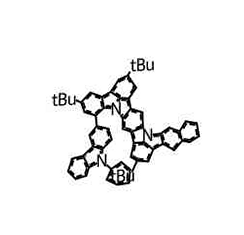 CC(C)(C)c1cc(-c2ccc3c(c2)c2ccccc2n3-c2ccccc2)c2c(c1)c1cc(C(C)(C)C)cc3c4cc5c(cc4n2c31)c1cc(C(C)(C)C)cc2c3cc4ccccc4cc3n5c21